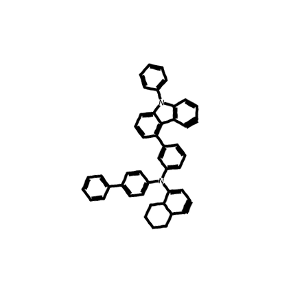 C1#CC2CCCCC2C(N(c2ccc(-c3ccccc3)cc2)c2cccc(-c3cccc4c3c3c#cccc3n4-c3ccccc3)c2)=C1